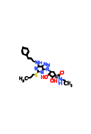 CCCSc1nc(NCC=Cc2ccccc2)c2nnn(C3C[C@H](C(=O)NCC)C(O)C3O)c2n1